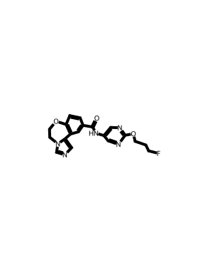 O=C(Nc1cnc(OCCCF)nc1)c1ccc2c(c1)-c1cncn1CCO2